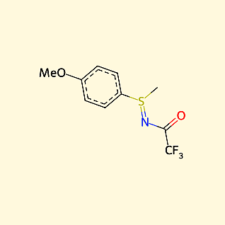 COc1ccc(/S(C)=N/C(=O)C(F)(F)F)cc1